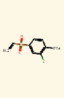 C=CS(=O)(=O)c1ccc(OC)c(Cl)c1